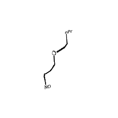 CCCCOCCN=O